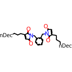 CCCCCCCCCCCCCC1=CC(=O)N(Cc2ccccc2CN2C(=O)C=C(CCCCCCCCCCCCC)C2=O)C1=O